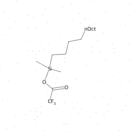 CCCCCCCCCCCC[Si](C)(C)OC(=O)C(F)(F)F